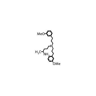 COc1cccc(CCCN(CCCc2cccc(OC)c2)CCCC(C)N)c1